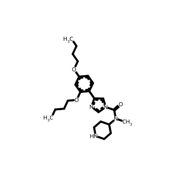 CCCCOc1ccc(-c2cn(C(=O)N(C)C3CCNCC3)cn2)c(OCCCC)c1